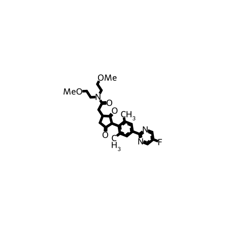 COCCN(CCOC)C(=O)CC1CC(=O)C(c2c(C)cc(-c3ncc(F)cn3)cc2C)C1=O